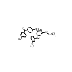 N#Cc1ccc(C(=O)N2CCC(Nc3nc(Nc4cccc(C(F)(F)F)c4)nc(OCC(F)(F)F)n3)CC2)cc1